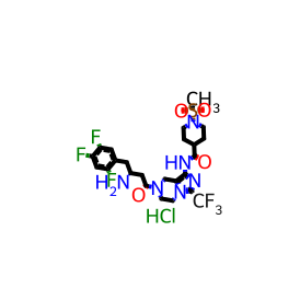 CS(=O)(=O)N1CCC(C(=O)Nc2nc(C(F)(F)F)n3c2CN(C(=O)C[C@H](N)Cc2cc(F)c(F)cc2F)CC3)CC1.Cl